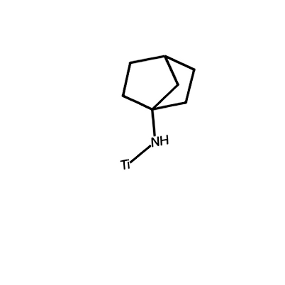 [Ti][NH]C12CCC(CC1)C2